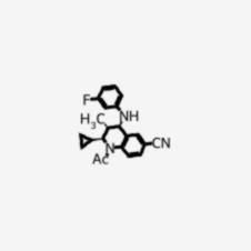 CC(=O)N1c2ccc(C#N)cc2[C@H](Nc2cccc(F)c2)[C@@H](C)[C@@H]1C1CC1